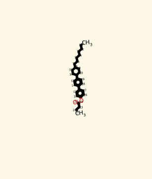 CCCCCCCCC1CCC(c2ccc(-c3ccc(OC(=O)CCC)cc3)cc2)CC1